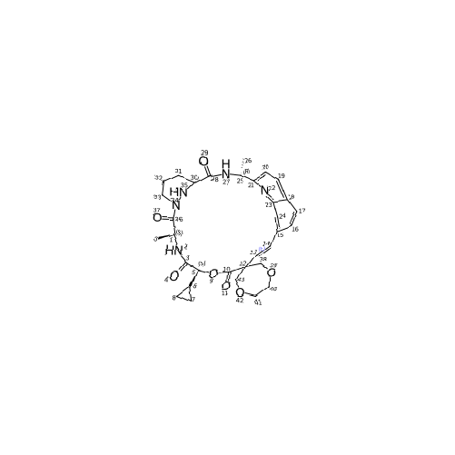 C[C@@H]1NC(=O)[C@H](C2CC2)OC(=O)C2(/C=C/c3ccc4ccc(nc4c3)[C@@H](C)NC(=O)C3CCCN(N3)C1=O)COCCOC2